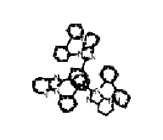 c1ccc(-c2ccccc2N2C(c3cc(-c4nc5cccnc5n4-c4ccccc4-c4ccccc4)cc(-c4nc5cccnc5n4-c4ccccc4-c4ccccc4)c3)=NC3CCCNC32)cc1